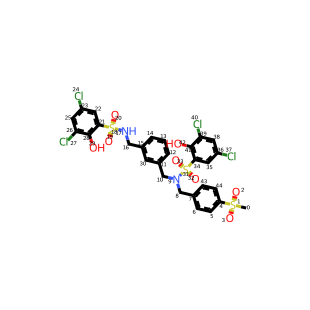 CS(=O)(=O)c1ccc(CN(Cc2cccc(CNS(=O)(=O)c3cc(Cl)cc(Cl)c3O)c2)S(=O)(=O)c2cc(Cl)cc(Cl)c2O)cc1